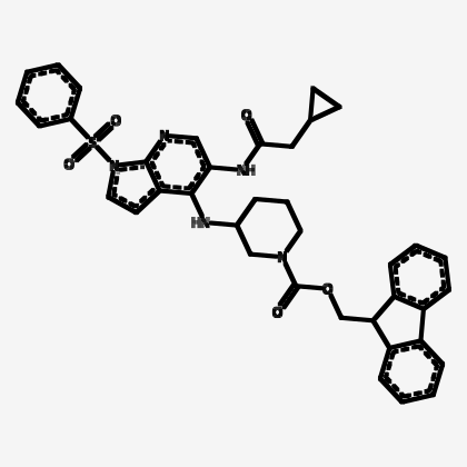 O=C(CC1CC1)Nc1cnc2c(ccn2S(=O)(=O)c2ccccc2)c1NC1CCCN(C(=O)OCC2c3ccccc3-c3ccccc32)C1